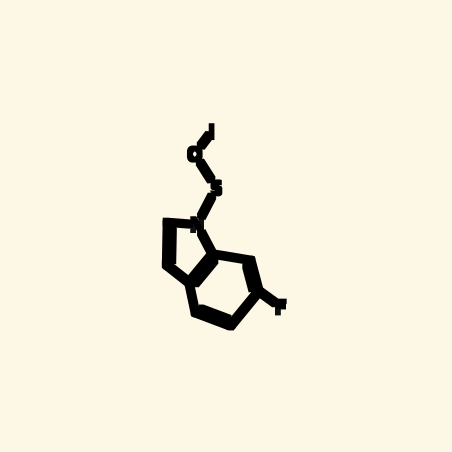 Fc1ccc2ccn(SOI)c2c1